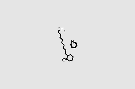 CCCCCCCCCCC1CCCCC1=O.c1ccncc1